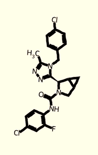 Cc1nnc([C@H]2C3CC3CN2C(=O)Nc2ccc(Cl)cc2F)n1Cc1ccc(Cl)cc1